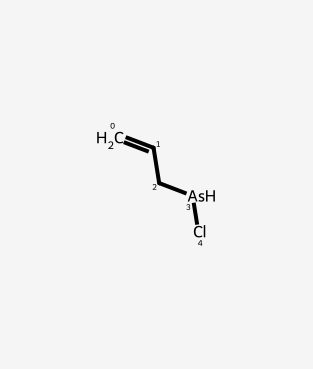 C=CC[AsH]Cl